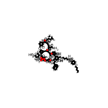 CCCCCOc1ccc(S(=O)(=O)NCCCCNCc2c(O)cc3c(c2O)-c2cc(ccc2O)[C@H]2CC(=O)[C@@H]4NC(=O)[C@H](CC(N)=O)CC(=O)[C@H](NC(=O)[C@H](CC)CC(C)C)[C@H](O)c5ccc(c(Cl)c5)Oc5cc4cc(c5O[C@@H]4O[C@H](CO)[C@@H](O)[C@H](O)[C@H]4O[C@H]4C[C@](C)(N)[C@H](O)[C@H](C)O4)Oc4ccc(cc4Cl)[C@@H](O)[C@H](NC2=O)C(=O)N[C@@H]3C(=O)CC2C3CC4CC(C3)CC2C4)cc1